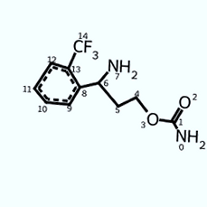 NC(=O)OCCC(N)c1ccccc1C(F)(F)F